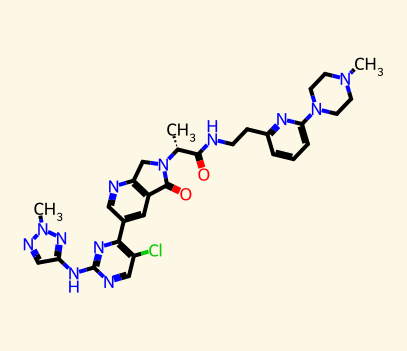 C[C@H](C(=O)NCCc1cccc(N2CCN(C)CC2)n1)N1Cc2ncc(-c3nc(Nc4cnn(C)n4)ncc3Cl)cc2C1=O